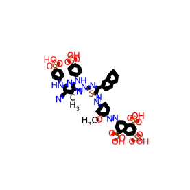 COc1cc(/N=N/c2sc(/N=N/c3c(Nc4ccc(S(=O)(=O)O)cc4)nc(Nc4ccc(S(=O)(=O)O)cc4)c(C#N)c3C)nc2-c2ccc3ccccc3c2)ccc1/N=N/C1=CC2C(S(=O)(=O)O)=CC(S(=O)(=O)O)=CC2C(S(=O)(=O)O)=C1